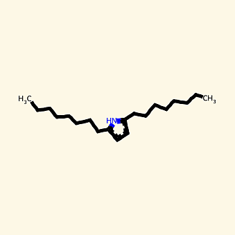 CCCCCCCCc1ccc(CCCCCCCC)[nH]1